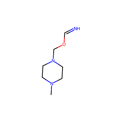 CN1CCN(COC=N)CC1